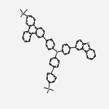 C[Si](C)(C)c1ccc(-c2ccc(N(c3ccc(-c4ccc5oc6ccccc6c5c4)cc3)c3ccc(-c4ccc5c6ccc([Si](C)(C)C)cc6c6ccccc6c5c4)cc3)cc2)cc1